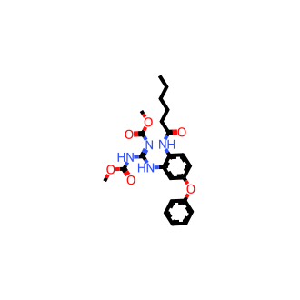 CCCCCC(=O)Nc1ccc(Oc2ccccc2)cc1NC(=NC(=O)OC)NC(=O)OC